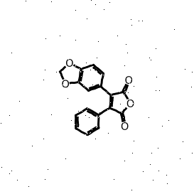 O=C1OC(=O)C(c2ccc3c(c2)OCO3)=C1c1ccccc1